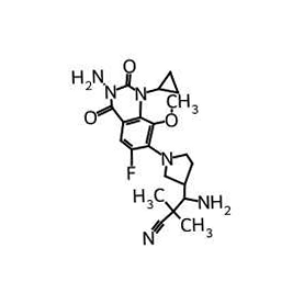 COc1c(N2CCC(C(N)C(C)(C)C#N)C2)c(F)cc2c(=O)n(N)c(=O)n(C3CC3)c12